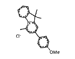 COc1ccc(-c2cc(C)[n+]3c(c2)C(C)(C)c2ccccc2-3)cc1.[Cl-]